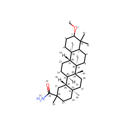 COC1CC[C@@]2(C)C(CC[C@]3(C)[C@@H]2CC[C@@H]2[C@H]4CC(C)(C(N)=O)CC[C@]4(C)CC[C@]23C)C1(C)C